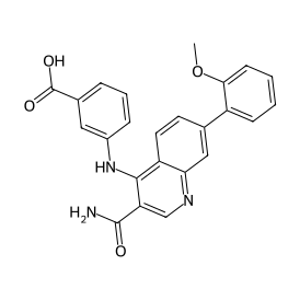 COc1ccccc1-c1ccc2c(Nc3cccc(C(=O)O)c3)c(C(N)=O)cnc2c1